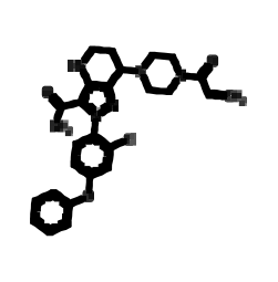 C=CC(=O)N1CCN(C2CCNc3c2nn(-c2ccc(Oc4ccccc4)cc2Cl)c3C(N)=O)CC1